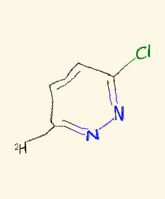 [2H]c1ccc(Cl)nn1